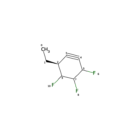 CC[C@H]1C#CC(F)C(F)C1F